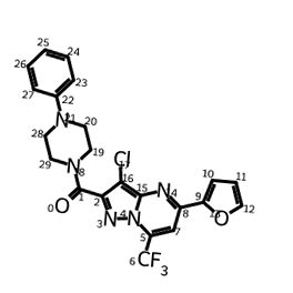 O=C(c1nn2c(C(F)(F)F)cc(-c3ccco3)nc2c1Cl)N1CCN(c2ccccc2)CC1